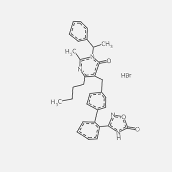 Br.CCCCc1nc(C)n(C(C)c2ccccc2)c(=O)c1Cc1ccc(-c2ccccc2-c2noc(=O)[nH]2)cc1